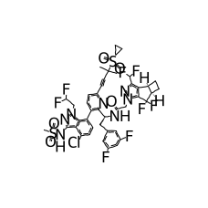 CC(C)(C#Cc1ccc(-c2ccc(Cl)c3c(NS(C)(=O)=O)nn(CC(F)F)c23)c([C@H](Cc2cc(F)cc(F)c2)NC(=O)Cn2nc(C(F)F)c3c2C(F)(F)[C@@H]2CC[C@H]32)n1)S(=O)(=O)C1CC1